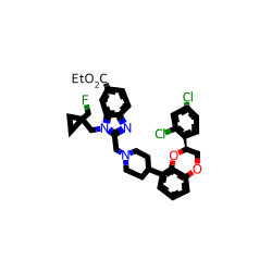 CCOC(=O)c1ccc2nc(CN3CCC(c4cccc5c4O[C@@H](c4ccc(Cl)cc4Cl)CO5)CC3)n(CC3(CF)CC3)c2c1